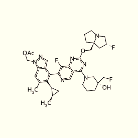 CC(=O)OCn1ncc2c(-c3ncc4c(N5CCC[C@](O)(CF)C5)nc(OC[C@@]56CCCN5C[C@H](F)C6)nc4c3F)c([C@H]3C[C@H]3C)c(C)cc21